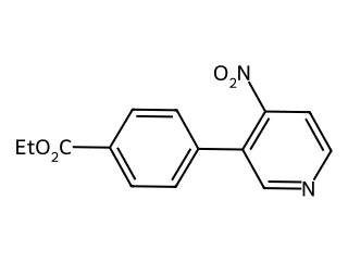 CCOC(=O)c1ccc(-c2cnccc2[N+](=O)[O-])cc1